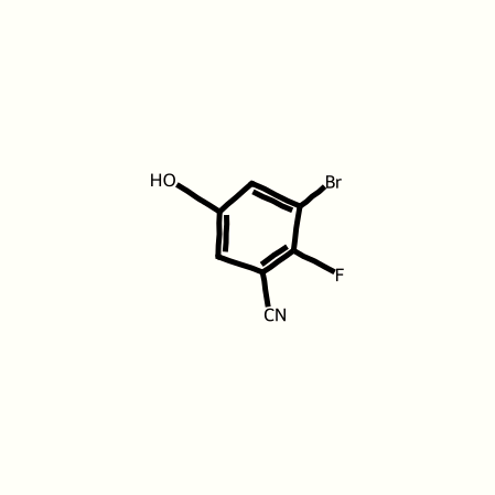 N#Cc1cc(O)cc(Br)c1F